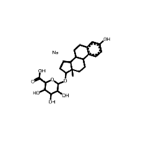 CC12CCC3c4ccc(O)cc4CCC3C1CCC2OC1OC(C(=O)O)C(O)C(O)C1O.[Na]